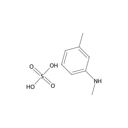 CNc1cccc(C)c1.O=S(=O)(O)O